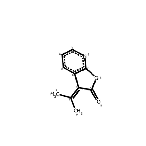 CC(C)=C1C(=O)Oc2ncccc21